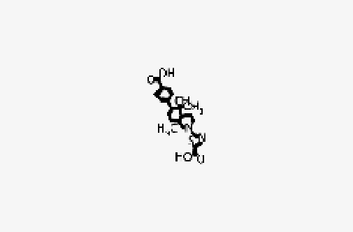 CC1(C)C(c2ccc(C(=O)O)cc2)=CC[C@]2(C)CN(c3ncc(C(=O)O)s3)CC=C12